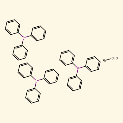 O=[CH][Rh].c1ccc(P(c2ccccc2)c2ccccc2)cc1.c1ccc(P(c2ccccc2)c2ccccc2)cc1.c1ccc(P(c2ccccc2)c2ccccc2)cc1